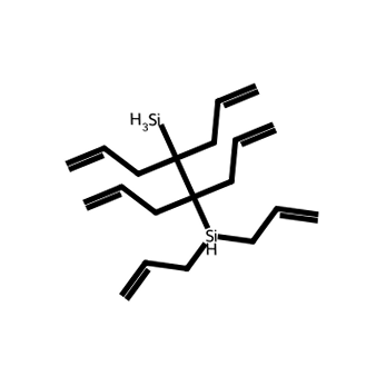 C=CC[SiH](CC=C)C(CC=C)(CC=C)C([SiH3])(CC=C)CC=C